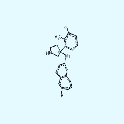 Cc1c(Cl)cccc1[C@@]1(Nc2ccc3cc(F)ccc3n2)CCNC1